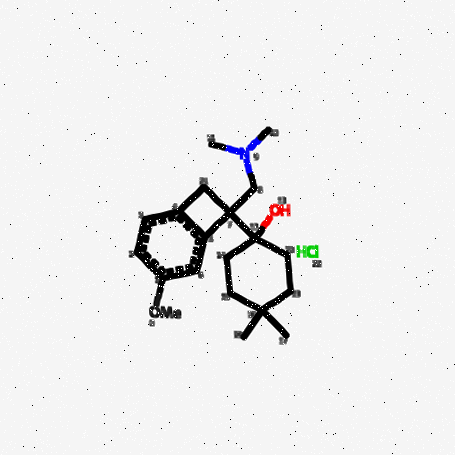 COc1ccc2c(c1)C(CN(C)C)(C1(O)CCC(C)(C)CC1)C2.Cl